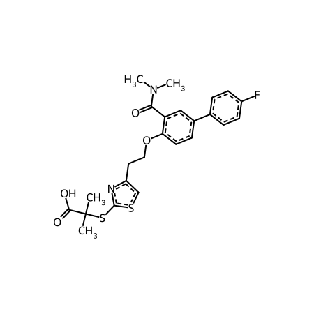 CN(C)C(=O)c1cc(-c2ccc(F)cc2)ccc1OCCc1csc(SC(C)(C)C(=O)O)n1